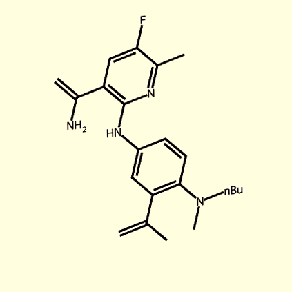 C=C(C)c1cc(Nc2nc(C)c(F)cc2C(=C)N)ccc1N(C)CCCC